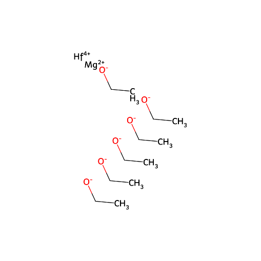 CC[O-].CC[O-].CC[O-].CC[O-].CC[O-].CC[O-].[Hf+4].[Mg+2]